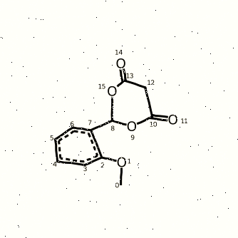 COc1ccccc1C1OC(=O)CC(=O)O1